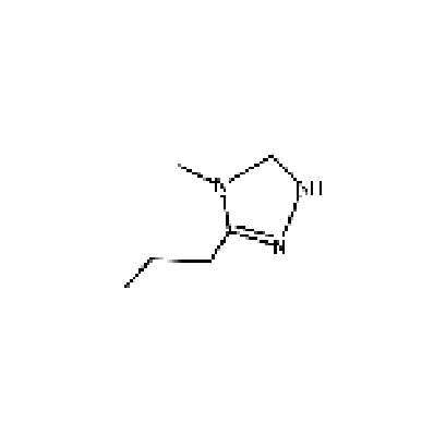 CCCC1=NNCN1C